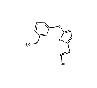 COc1cccc(Oc2ncc(C=NO)s2)c1